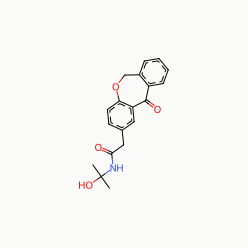 CC(C)(O)NC(=O)Cc1ccc2c(c1)C(=O)c1ccccc1CO2